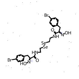 O=C(NCC[Se][Se]CCNC(=O)/C(Cc1ccc(Br)cc1)=N/O)/C(Cc1ccc(Br)cc1)=N/O